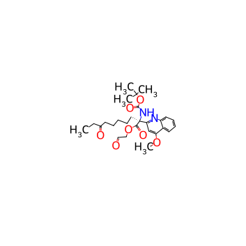 CCC(=O)CCCCC[C@@](NC(=O)OC(C)(C)C)(C(=O)OCC=O)c1cc(OC)c2ccccc2n1